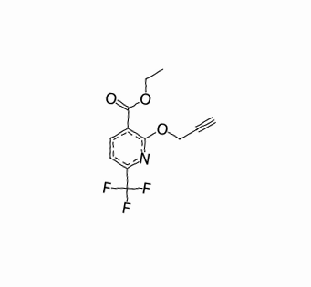 C#CCOc1nc(C(F)(F)F)ccc1C(=O)OCC